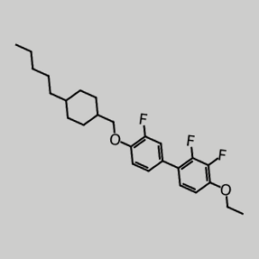 CCCCCC1CCC(COc2ccc(-c3ccc(OCC)c(F)c3F)cc2F)CC1